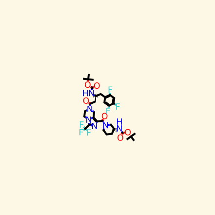 CC(C)(C)OC(=O)N[C@H](CC(=O)N1CCn2c(C(F)(F)F)nc(C(=O)N3CCC[C@@H](NC(=O)OC(C)(C)C)C3)c2C1)Cc1cc(F)c(F)cc1F